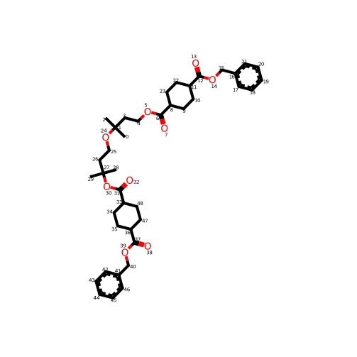 CC(C)(CCOC(=O)C1CCC(C(=O)OCc2ccccc2)CC1)OCCC(C)(C)OC(=O)C1CCC(C(=O)OCc2ccccc2)CC1